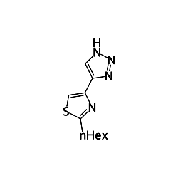 CCCCCCc1nc(-c2c[nH]nn2)cs1